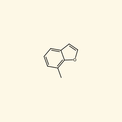 Cc1cccc2ccoc12